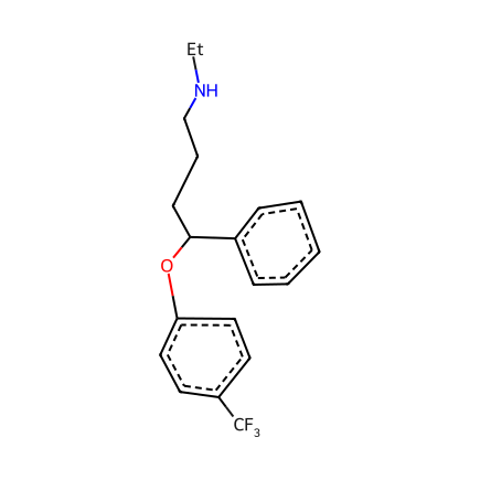 CCNCCCC(Oc1ccc(C(F)(F)F)cc1)c1ccccc1